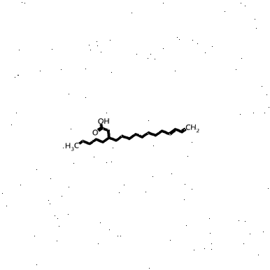 C=CC=CCCCCCCCCC(CCCCC)CC(=O)O